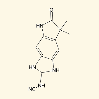 CC1(C)C(=O)Nc2cc3c(cc21)NC(NC#N)N3